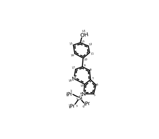 CC(C)[Si](C(C)C)(C(C)C)n1ccc2cc(-c3ccc(O)cc3)cnc21